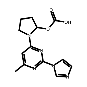 Cc1cc(N2CCCC2OC(=O)O)nc(-n2ccnc2)n1